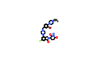 CN1CCN(c2ccc(CN3CCN(c4cc(F)cc5c4CN(C4CCC(=O)NC4=O)C5=O)CC3)cc2Br)CC1